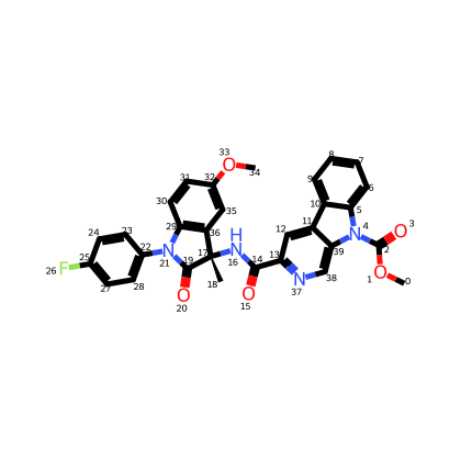 COC(=O)n1c2ccccc2c2cc(C(=O)N[C@]3(C)C(=O)N(c4ccc(F)cc4)c4ccc(OC)cc43)ncc21